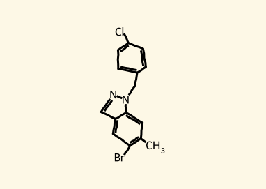 Cc1cc2c(cnn2Cc2ccc(Cl)cc2)cc1Br